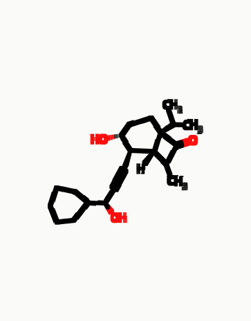 CC1C(=O)[C@@]2(C(C)C)CC[C@@H](O)[C@H](C#C[C@@H](O)C3CCCCC3)[C@@H]12